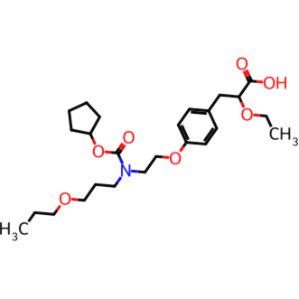 CCCOCCCN(CCOc1ccc(CC(OCC)C(=O)O)cc1)C(=O)OC1CCCC1